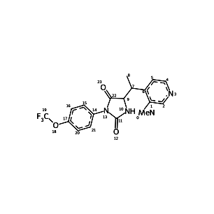 CNc1cnccc1C(C)C1NC(=O)N(c2ccc(OC(F)(F)F)cc2)C1=O